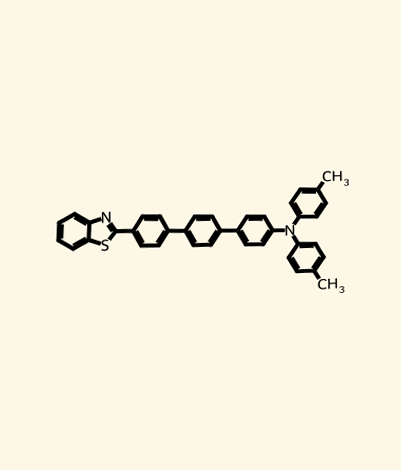 Cc1ccc(N(c2ccc(C)cc2)c2ccc(-c3ccc(-c4ccc(-c5nc6ccccc6s5)cc4)cc3)cc2)cc1